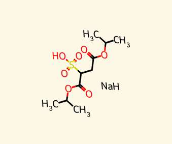 CC(C)OC(=O)CC(C(=O)OC(C)C)S(=O)(=O)O.[NaH]